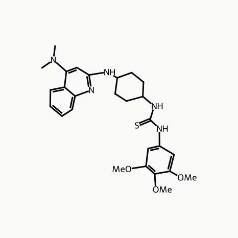 COc1cc(NC(=S)NC2CCC(Nc3cc(N(C)C)c4ccccc4n3)CC2)cc(OC)c1OC